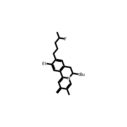 C=C1C=C2c3cc(CC)c(CCCC(C)F)cc3CC(C(C)(C)C)N2C=C1C